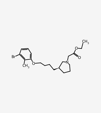 CCOC(=O)CN1CCC[C@@H](CCCCOc2cccc(Br)c2C)C1